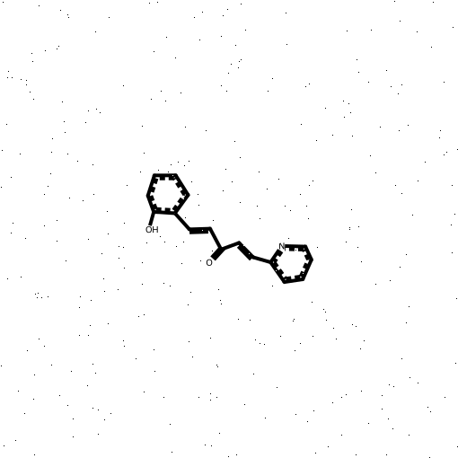 O=C(C=Cc1ccccn1)C=Cc1ccccc1O